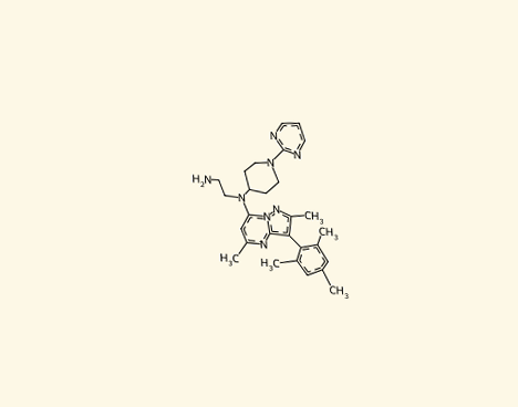 Cc1cc(C)c(-c2c(C)nn3c(N(CCN)C4CCN(c5ncccn5)CC4)cc(C)nc23)c(C)c1